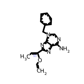 C=CO/C(=C\C)c1nc2c(N)ncn(Cc3ccccc3)c-2n1